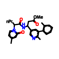 CCCC(C(=O)NC(CC(=O)OC)c1cnc(C)c(-c2ccccc2C)c1)n1ccc(C)cc1=O